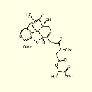 COc1ccc2c3c1O[C@H]1C(OC(=O)[C@H](CC(=O)O[C@@H](C)C(=O)OCC(C)C)OC(C)=O)=CC[C@@]4(O)[C@@H](C2)N(C)CC[C@]314